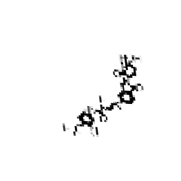 Cc1ccc(NC(=O)NCCSc2ccc3c(c2)CN(C2CCC(O)NC2=O)C3=O)cc1Cl